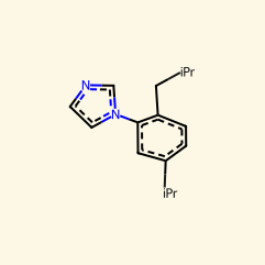 CC(C)Cc1ccc(C(C)C)cc1-n1ccnc1